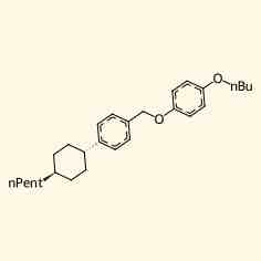 CCCCC[C@H]1CC[C@H](c2ccc(COc3ccc(OCCCC)cc3)cc2)CC1